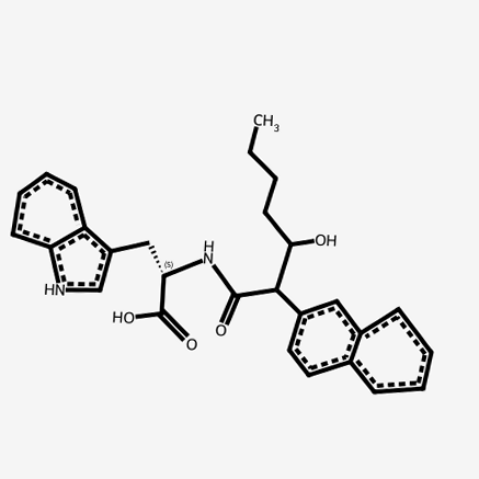 CCCCC(O)C(C(=O)N[C@@H](Cc1c[nH]c2ccccc12)C(=O)O)c1ccc2ccccc2c1